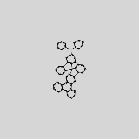 c1ccc(N(c2ccccc2)c2ccc3c(c2)-c2ccccc2C32c3ccccc3-c3cc4c5ccccc5c5ccccc5c4cc32)cc1